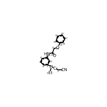 CCN(CCC#N)c1cccc(NC(=O)COc2ccccc2)c1